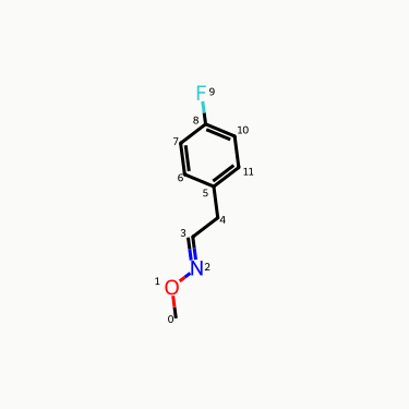 CO/N=C/Cc1ccc(F)cc1